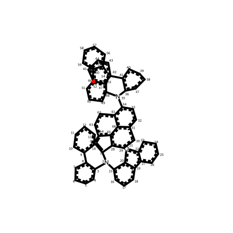 C1=C(N(c2ccccc2-c2ccccc2)c2cccc3c2oc2ccccc23)c2ccc3ccc(N(c4ccccc4-c4ccccc4)c4cccc5c4oc4ccccc45)c4ccc=1c2c34